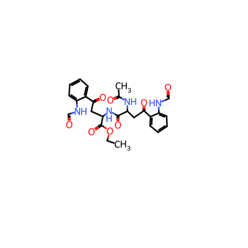 CCOC(=O)C(CC(=O)c1ccccc1NC=O)NC(=O)C(CC(=O)c1ccccc1NC=O)NC(C)=O